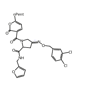 CCCCCc1ccc(C(=O)N2C/C(=N/OCc3ccc(Cl)c(Cl)c3)CC2C(=O)NCc2ccco2)c(=O)o1